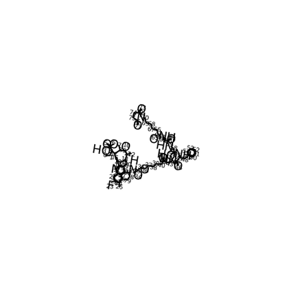 CC[C@@]1(O)C(=O)OCC2C(=O)C(C)C3C/C(=C\C21)c1nc2cc(F)c(C)c4c2c(c1C3)[C@@H](NC(=O)COCCCCC(=O)CNC(=O)C(Cc1ccccc1)NC(O)CNC(=O)CNC(=O)CCCCCN1C(=O)C=CC1=O)CC4